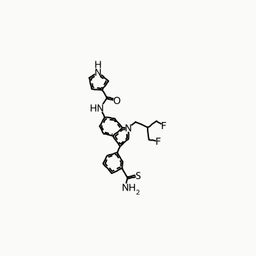 NC(=S)c1cccc(-c2cn(CC(CF)CF)c3cc(NC(=O)c4cc[nH]c4)ccc23)c1